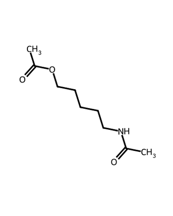 CC(=O)NCCCCCOC(C)=O